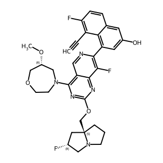 C#Cc1c(F)ccc2cc(O)cc(-c3ncc4c(N5CCOC[C@H](OC)C5)nc(OC[C@@]56CCCN5C[C@H](F)C6)nc4c3F)c12